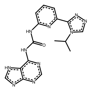 CC(C)n1cnnc1-c1cccc(NC(=O)Nc2ncnc3nc[nH]c23)n1